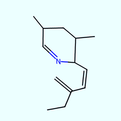 C=C(/C=C\C1N=CC(C)CC1C)CC